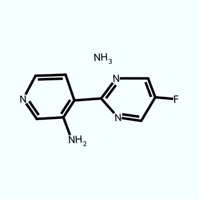 N.Nc1cnccc1-c1ncc(F)cn1